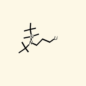 [Li][CH2]CCN(C(C)(C)C)[Si](C)(C)C(C)(C)C